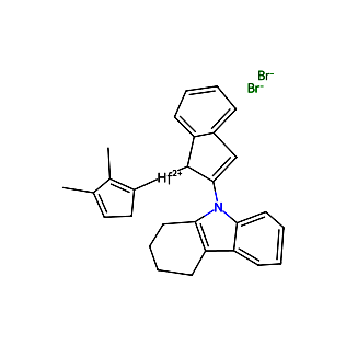 CC1=CC[C]([Hf+2][CH]2C(n3c4c(c5ccccc53)CCCC4)=Cc3ccccc32)=C1C.[Br-].[Br-]